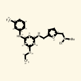 CCCCN(CC)Cc1ccc(CNc2nc(Nc3cccc(C(F)(F)F)c3)nc(OCC(F)(F)F)n2)o1